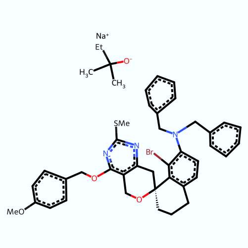 CCC(C)(C)[O-].COc1ccc(COc2nc(SC)nc3c2CO[C@@]2(CCCc4ccc(N(Cc5ccccc5)Cc5ccccc5)c(Br)c42)C3)cc1.[Na+]